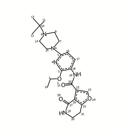 CCOc1nc(N2CCN(C(C)(C)C)CC2)ccc1NC(=O)c1coc2c1C(=O)NCC2